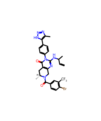 C=CC(C)Nc1nc2c(c(=O)n1-c1ccc(-c3[nH]nnc3C)cc1)C[C@@H](C)N(C(=O)c1ccc(Br)c(C(F)(F)F)c1)C2